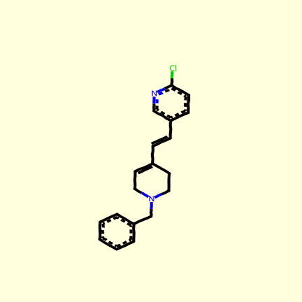 Clc1ccc(/C=C/C2=CCN(Cc3ccccc3)CC2)cn1